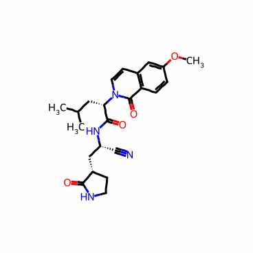 COc1ccc2c(=O)n([C@@H](CC(C)C)C(=O)N[C@H](C#N)C[C@@H]3CCNC3=O)ccc2c1